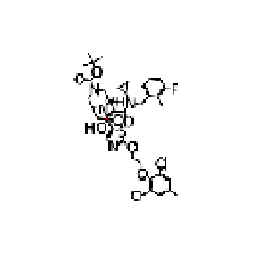 Cc1cc(Cl)c(OCCOc2ncc(C3=C(C(=O)N(Cc4cccc(F)c4C)C4CC4)[C@H]4CN(C(=O)OC(C)(C)C)CC(C3)N4C(=O)O)s2)c(Cl)c1